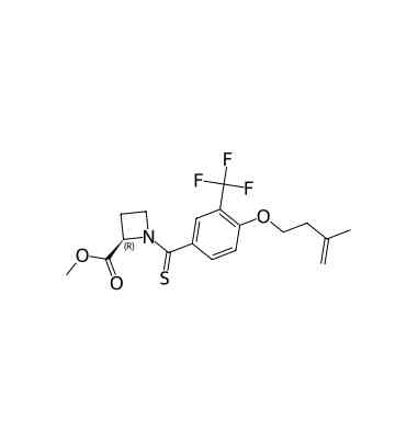 C=C(C)CCOc1ccc(C(=S)N2CC[C@@H]2C(=O)OC)cc1C(F)(F)F